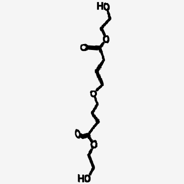 O=C(CCCOCCCC(=O)OCCO)OCCO